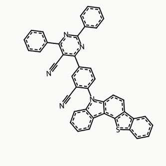 N#Cc1cc(-c2nc(-c3ccccc3)nc(-c3ccccc3)c2C#N)ccc1-n1c2ccccc2c2c3sc4ccccc4c3ccc21